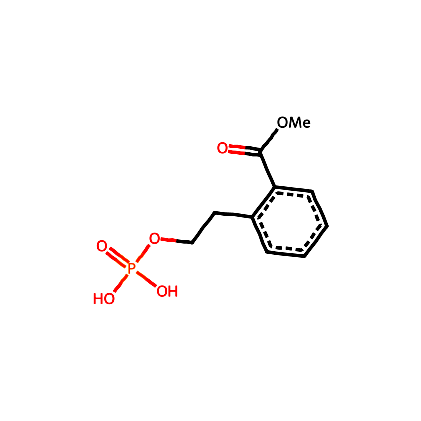 COC(=O)c1ccccc1CCOP(=O)(O)O